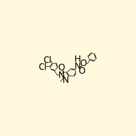 Cc1nc2ccc(NC(=O)OCc3ccccc3)cc2c(=O)n1Cc1ccc(Cl)c(Cl)c1